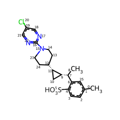 Cc1ccc(S(=O)(=O)O)c(C(C)[C@@H]2C[C@@H]2C2CCN(c3ncc(Cl)cn3)CC2)c1